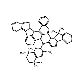 Cc1cc2c(cc1N1B3c4c(cc5ccccc5c4-n4c5ccc6ccccc6c5c5cccc3c54)-c3c1ccc1c3C(C)(C)c3ccccc3-1)C(C)(C)CCC2(C)C